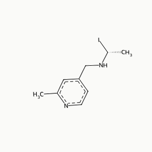 Cc1cc(CN[C@@H](C)I)ccn1